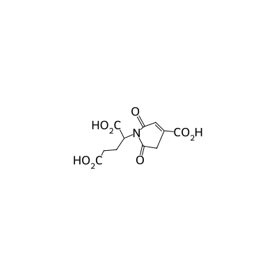 O=C(O)CCC(C(=O)O)N1C(=O)C=C(C(=O)O)CC1=O